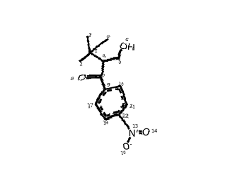 CC(C)(C)C(CO)C(=O)c1ccc([N+](=O)[O-])cc1